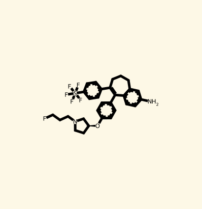 Nc1ccc2c(c1)CCCC(c1ccc(S(F)(F)(F)(F)F)cc1)=C2c1ccc(O[C@H]2CCN(CCCF)C2)cc1